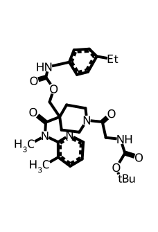 CCc1ccc(NC(=O)OCC2(C(=O)N(C)c3ncccc3C)CCN(C(=O)CNC(=O)OC(C)(C)C)CC2)cc1